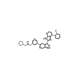 Fc1ccccc1-c1ccnc2[nH]c(-c3n[nH]c4cnc(-c5cncc(CNCC6CCCC6)c5)cc34)nc12